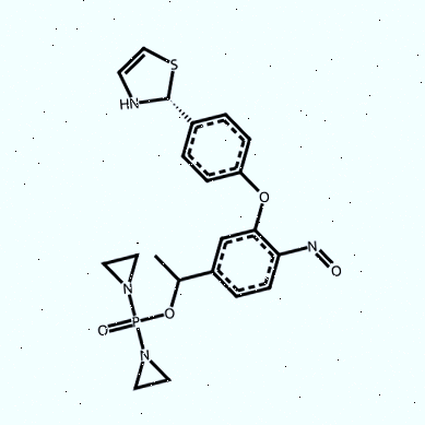 CC(OP(=O)(N1CC1)N1CC1)c1ccc(N=O)c(Oc2ccc([C@@H]3NC=CS3)cc2)c1